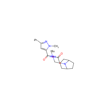 CC(C)c1cc(C(=O)NCC2CC3CCC(C2)N3CC(=O)NC(C)(C)C)n(C)n1